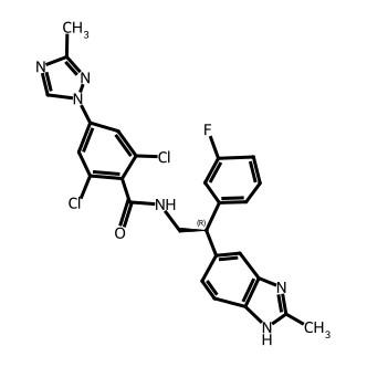 Cc1ncn(-c2cc(Cl)c(C(=O)NC[C@@H](c3cccc(F)c3)c3ccc4[nH]c(C)nc4c3)c(Cl)c2)n1